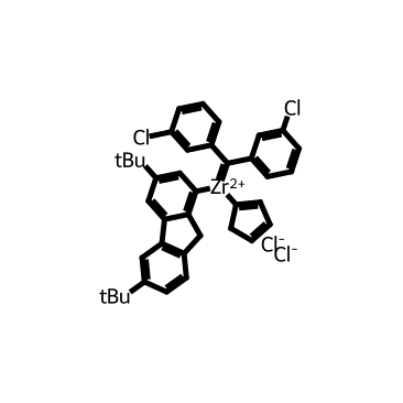 CC(C)(C)c1ccc2c(c1)-c1cc(C(C)(C)C)c[c]([Zr+2]([C]3=CC=CC3)=[C](c3cccc(Cl)c3)c3cccc(Cl)c3)c1C2.[Cl-].[Cl-]